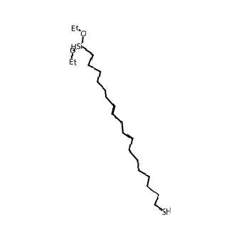 CCO[SiH](CCCCCCCCCCCCCCCCCCS)OCC